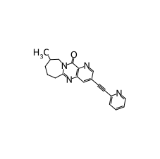 CC1CCCc2nc3cc(C#Cc4ccccn4)cnc3c(=O)n2C1